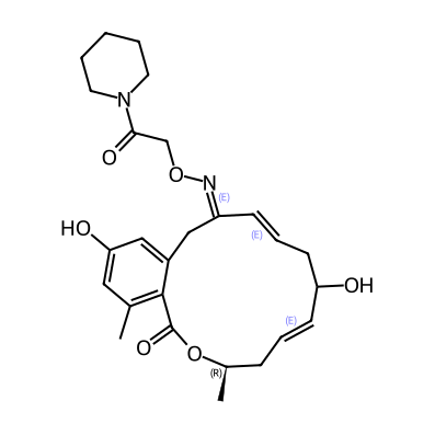 Cc1cc(O)cc2c1C(=O)O[C@H](C)C/C=C/C(O)C/C=C/C(=N/OCC(=O)N1CCCCC1)C2